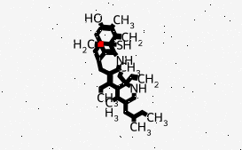 C=CC1=C2NC/C(=C(/CC)C3C(C)C(CC(C)CC)CNC3(C=C)CC)CC1CC1CC(O)=C(C)C(=C)C21S